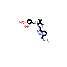 CC(C)c1cnc(-c2nnn3c(C(N)=O)cccc23)nc1NCc1cccc(B(O)O)c1